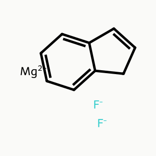 C1=Cc2ccccc2C1.[F-].[F-].[Mg+2]